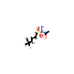 CC(=O)NS(=O)(=O)CCCCC(C)(C)C